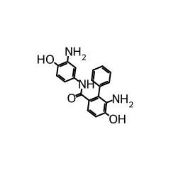 Nc1cc(NC(=O)c2ccc(O)c(N)c2-c2ccccc2)ccc1O